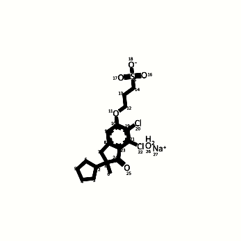 CC1(C2CCCC2)Cc2cc(OCCCS(=O)(=O)[O-])c(Cl)c(Cl)c2C1=O.O.[Na+]